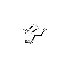 CC(=O)O.CC(=O)O.CCOC(=O)CCO